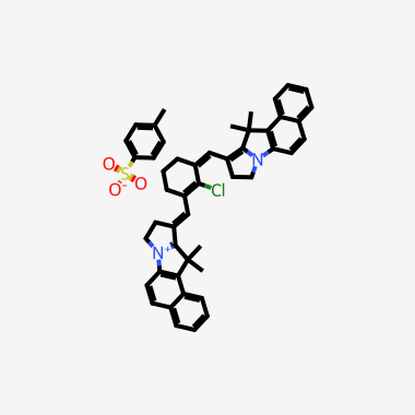 CC1(C)C2=C(C=C3CCCC(C=C4CC[N+]5=C4C(C)(C)c4c5ccc5ccccc45)=C3Cl)CCN2c2ccc3ccccc3c21.Cc1ccc(S(=O)(=O)[O-])cc1